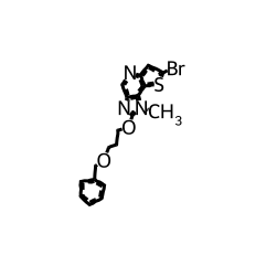 Cn1c(OCCCOCc2ccccc2)nc2cnc3cc(Br)sc3c21